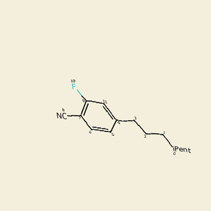 CCCC(C)CCCc1ccc(C#N)c(F)c1